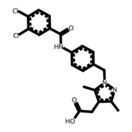 Cc1nn(Cc2ccc(NC(=O)c3ccc(Cl)c(Cl)c3)cc2)c(C)c1CC(=O)O